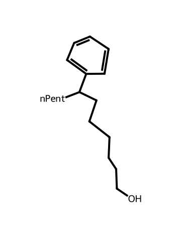 CCCCCC(CCCCCCO)c1ccccc1